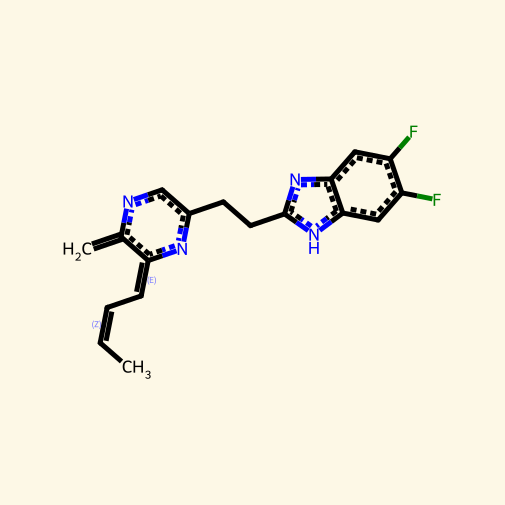 C=c1ncc(CCc2nc3cc(F)c(F)cc3[nH]2)n/c1=C/C=C\C